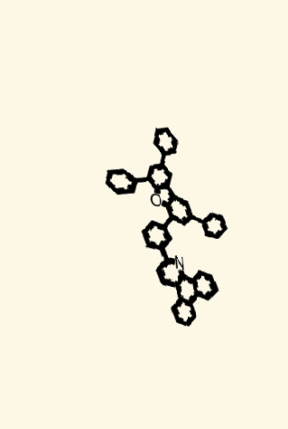 c1ccc(-c2cc(-c3ccccc3)c3oc4c(-c5cccc(-c6ccc7c8ccccc8c8ccccc8c7n6)c5)cc(-c5ccccc5)cc4c3c2)cc1